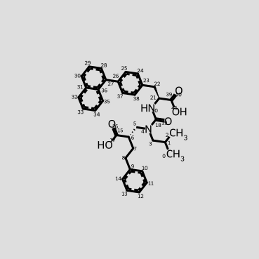 CC(C)CN(C[C@H](CCc1ccccc1)C(=O)O)C(=O)N[C@@H](Cc1ccc(-c2cccc3ccccc23)cc1)C(=O)O